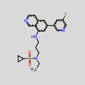 CCN(CCCNc1cc(-c2cncc(F)c2)cc2ccncc12)S(=O)(=O)C1CC1